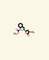 CCCC[C@@H]1C[C@H](CCC2CCCCC2NC(=O)OC(C)(C)C)OC1=O